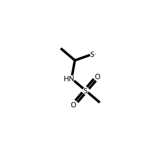 CC([S])NS(C)(=O)=O